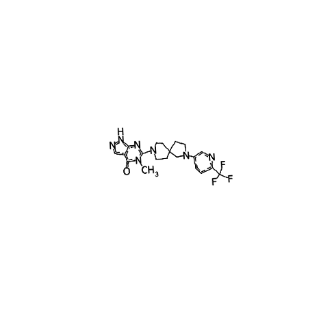 Cn1c(N2CCC3(CCN(c4ccc(C(F)(F)F)nc4)C3)CC2)nc2[nH]ncc2c1=O